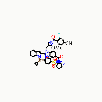 COc1cc(C(=O)N2CC3CCC2[C@]3(N)S(=O)(=O)c2ccc(Br)cc2)cc2nc(-c3cc4ccccc4n3CC3CC3)n(CC3CN(C(=O)c4ccc(C#N)cc4F)C3)c12